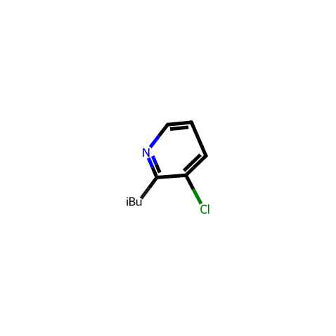 CCC(C)c1ncccc1Cl